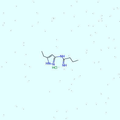 CCCC(=N)Nc1cc(CC)[nH]n1.Cl